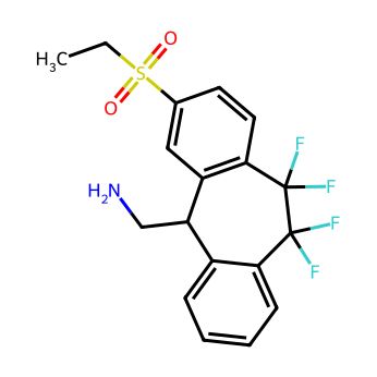 CCS(=O)(=O)c1ccc2c(c1)C(CN)c1ccccc1C(F)(F)C2(F)F